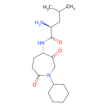 CC(C)C[C@H](N)C(=O)N[C@H]1CCC(=O)N(C2CCCCC2)CC1=O